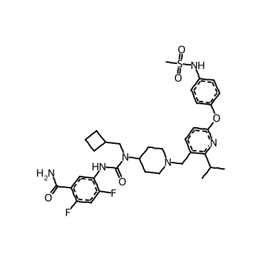 CC(C)c1nc(Oc2ccc(NS(C)(=O)=O)cc2)ccc1CN1CCC(N(CC2CCC2)C(=O)Nc2cc(C(N)=O)c(F)cc2F)CC1